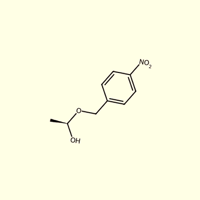 C[C@H](O)OCc1ccc([N+](=O)[O-])cc1